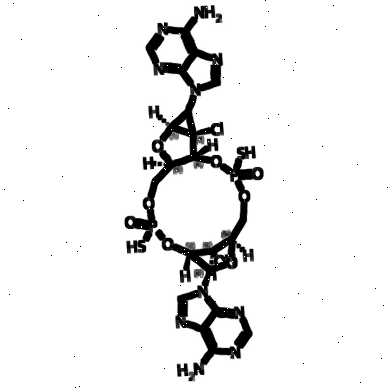 Nc1ncnc2c1ncn2C1[C@@H]2O[C@@H]3COP(=O)(S)O[C@@H]4[C@H](O)[C@@H](COP(=O)(S)O[C@H]3[C@@]12Cl)O[C@H]4n1cnc2c(N)ncnc21